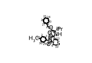 Cc1ccc(S(=O)(=O)N2CCSC[C@H]2C(=O)N[C@H](C(=O)OCc2ccccc2)C(C)C)cc1